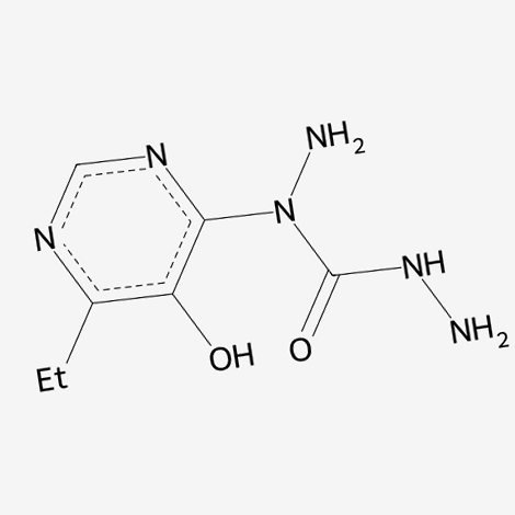 CCc1ncnc(N(N)C(=O)NN)c1O